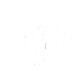 CC1(C)c2ccccc2-c2c(-c3nc(N(c4ccc5c(c4)C4(c6ccccc6-c6ccccc64)c4ccccc4-5)c4cccc(-c5ccccc5)c4-c4ccccc4)nc4ccccc34)cccc21